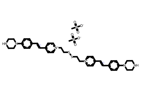 C(=C\c1cc[n+](CCSSCC[n+]2ccc(/C=C/c3ccc(N4CCNCC4)cc3)cc2)cc1)/c1ccc(N2CCNCC2)cc1.CS(=O)(=O)[O-].CS(=O)(=O)[O-]